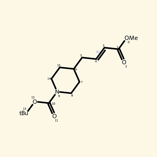 COC(=O)/C=C/CC1CCN(C(=O)OC(C)(C)C)CC1